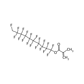 C=C(C)C(=O)OC(F)(F)C(F)(F)C(F)(F)C(F)(F)C(F)(F)C(F)(F)C(F)(F)C(F)(F)C(F)(F)CF